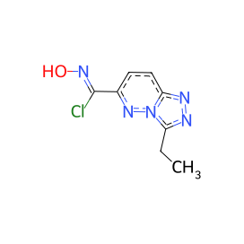 CCc1nnc2ccc(/C(Cl)=N/O)nn12